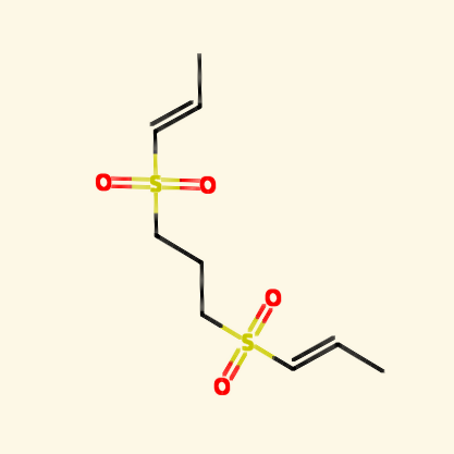 CC=CS(=O)(=O)CCCS(=O)(=O)C=CC